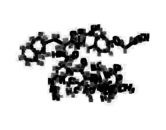 C#CCOc1ccc(C[C@H](NC(=O)[C@H](Cc2ccc3ccccc3c2)NC(=O)[C@@H]2C[C@H](N=[N+]=[N-])CN2C(=O)[C@@H](NC(=O)[C@H](C)N(C)C(=O)OC(C)(C)C)C(C)(C)C)C(=O)OC)cc1